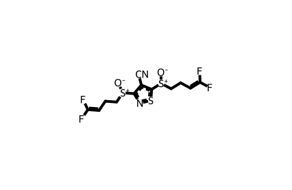 N#Cc1c([S+]([O-])CCC=C(F)F)nsc1[S+]([O-])CCC=C(F)F